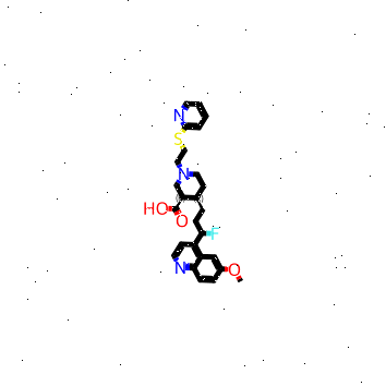 COc1ccc2nccc(C(F)CC[C@@H]3CCN(CCSc4ccccn4)C[C@@H]3C(=O)O)c2c1